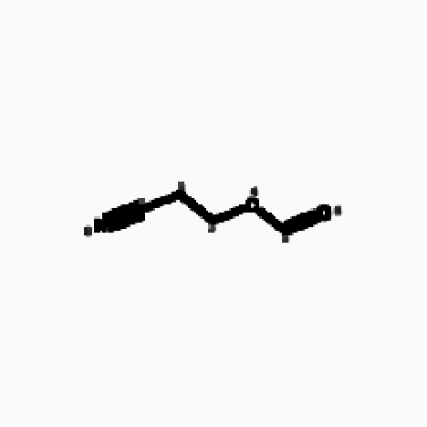 N#CCCO[C]=O